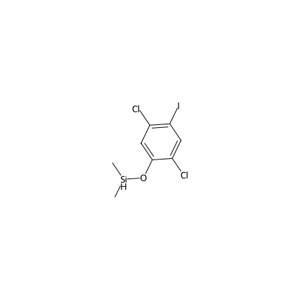 C[SiH](C)Oc1cc(Cl)c(I)cc1Cl